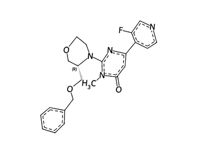 Cn1c(N2CCOC[C@H]2COCc2ccccc2)nc(-c2ccncc2F)cc1=O